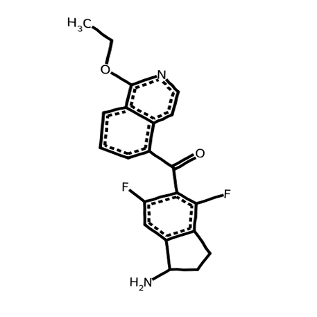 CCOc1nccc2c(C(=O)c3c(F)cc4c(c3F)CCC4N)cccc12